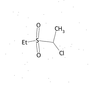 CCS(=O)(=O)C(C)Cl